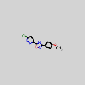 COc1ccc(-c2noc(-c3ccc(Cl)nn3)n2)cc1